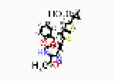 Cc1onc(C#Cc2cc3cc(C4(C(=O)O)CC4)sc3s2)c1NC(=O)OCc1ccccc1